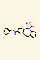 CC(=O)N1Cc2ccc(NCc3ccccc3)cc2C=Cc2ccccc21